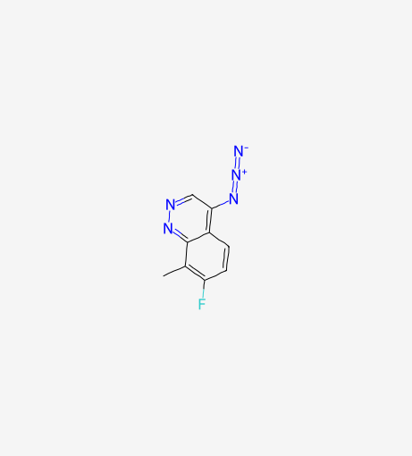 Cc1c(F)ccc2c(N=[N+]=[N-])cnnc12